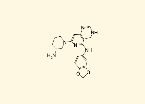 N[C@@H]1CCCN(c2cc3c(c(Nc4ccc5c(c4)OCO5)n2)CNC=N3)C1